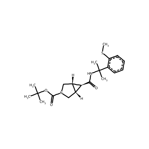 CSc1ccccc1C(C)(C)NC(=O)[C@H]1[C@@H]2CN(C(=O)OC(C)(C)C)C[C@@H]21